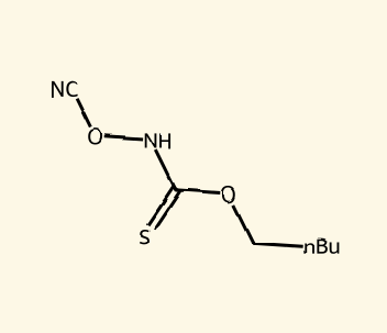 CCCCCOC(=S)NOC#N